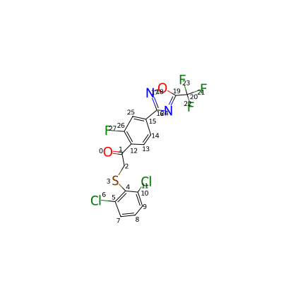 O=C(CSc1c(Cl)cccc1Cl)c1ccc(-c2noc(C(F)(F)F)n2)cc1F